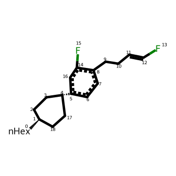 CCCCCC[C@H]1CC[C@H](c2ccc(CCC=CF)c(F)c2)CC1